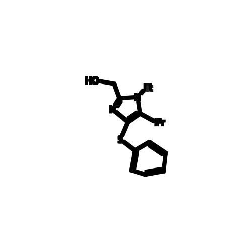 CCn1c(CO)nc(Sc2ccccc2)c1C(C)C